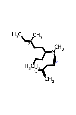 C=C(C)C/C=C\N(C)C(CCC)CC[C@H](C)CC